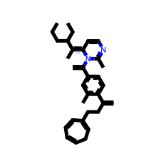 C=C(CCC1=CCC=CC=C1)c1ccc(C(=C)N2C(C)=NC=C/C2=C(/C)C(CC)CCC)cc1C